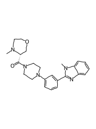 CN1CCOC[C@@H]1C(=O)N1CCN(c2cccc(-c3nc4ccccc4n3C)c2)CC1